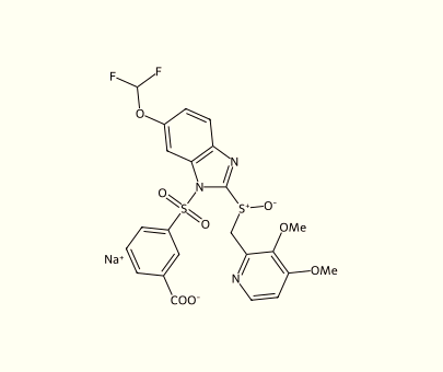 COc1ccnc(C[S+]([O-])c2nc3ccc(OC(F)F)cc3n2S(=O)(=O)c2cccc(C(=O)[O-])c2)c1OC.[Na+]